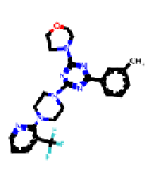 Cc1cccc(-c2nc(N3CCOCC3)nc(N3CCN(c4ncccc4C(F)(F)F)CC3)n2)c1